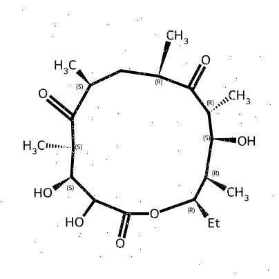 CC[C@H]1OC(=O)C(O)[C@@H](O)[C@H](C)C(=O)[C@@H](C)C[C@@H](C)C(=O)[C@H](C)[C@@H](O)[C@H]1C